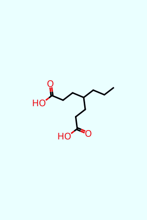 CCCC(CCC(=O)O)CCC(=O)O